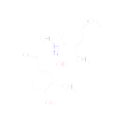 C=C/C=C(/C)C(=O)NC(C)C(=O)C1=C(O)C(C)=C(O)CC1